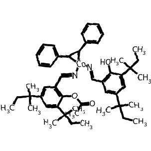 CCC(C)(C)c1cc(C=[N][Co]2([N]=Cc3cc(C(C)(C)CC)cc(C(C)(C)CC)c3OC(C)=O)[CH](c3ccccc3)[CH]2c2ccccc2)c(O)c(C(C)(C)CC)c1